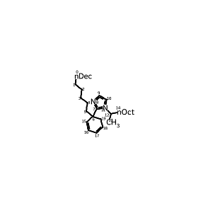 CCCCCCCCCCCCCCCC1(c2nccn2C(C)CCCCCCCC)C=CC=CC1